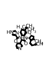 C#C/C=C\C1=C(C)C[C@@H](O)[C@@H]1NC(=O)C(c1cccnc1)N(C(=O)c1c[nH]cn1)c1ccc(C(C)(C)C)cc1